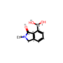 CCN1Cc2cccc(B(O)O)c2C1=O